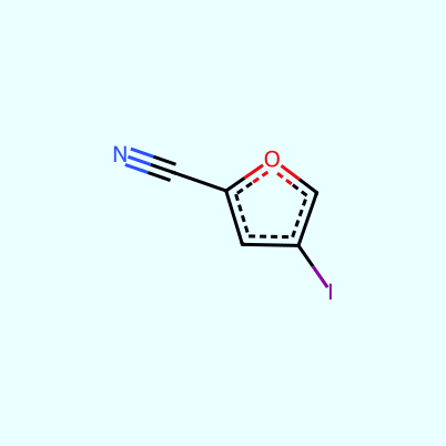 N#Cc1cc(I)co1